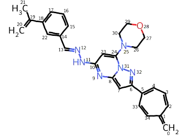 C=C1C=CC=C(c2cc3nc(N/N=C/c4cccc(C(=C)C)c4)cc(N4CCOCC4)n3n2)C=C1